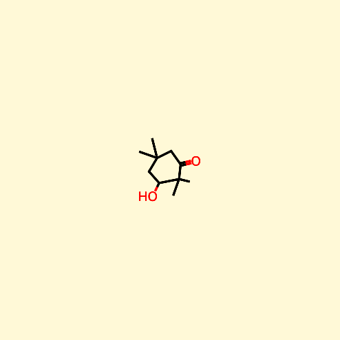 CC1(C)CC(=O)C(C)(C)C(O)C1